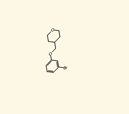 Brc1cccc(OCC2CCOCC2)c1